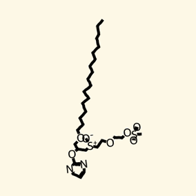 CCCCCCCCCCCCCCCCCCOCC(C[S+]([O-])CCOCCOS(C)(=O)=O)Oc1ncccn1